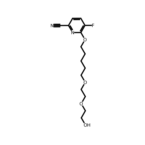 N#Cc1ccc(F)c(OCCCCCOCCOCCO)n1